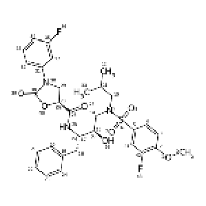 COc1ccc(S(=O)(=O)N(CC(C)C)C[C@@H](O)[C@H](Cc2ccccc2)NC(=O)[C@@H]2CN(c3cccc(F)c3)C(=O)O2)cc1F